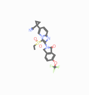 CCS(=O)(=O)c1c(N2Cc3ccc(OC(F)(F)F)cc3C2=O)nc2ccc(C3(C#N)CC3)cn12